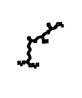 C=CC(=O)OCC(O)COC(=O)CCSCC(N)C(=O)O